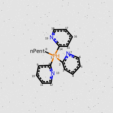 CCCCC[PH](c1ccccn1)(c1ccccn1)c1ccccn1